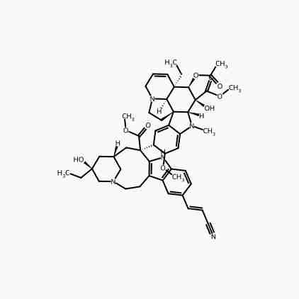 CC[C@]1(O)C[C@H]2CN(CCc3c([nH]c4ccc(/C=C/C#N)cc34)[C@@](C(=O)OC)(C3C=C4C(=CC3OC)N(C)[C@H]3[C@@](O)(C(=O)OC)[C@H](OC(C)=O)[C@]5(CC)C=CCN6CC[C@]43[C@@H]65)C2)C1